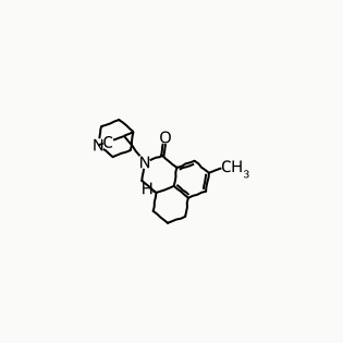 Cc1cc2c3c(c1)C(=O)N(C1CN4CCC1CC4)C[C@@H]3CCC2